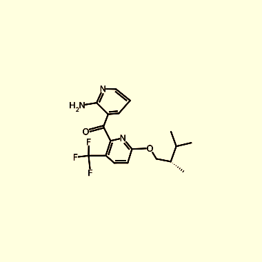 CC(C)[C@H](C)COc1ccc(C(F)(F)F)c(C(=O)c2cccnc2N)n1